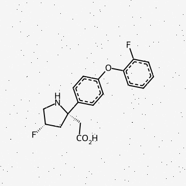 O=C(O)C[C@]1(c2ccc(Oc3ccccc3F)cc2)C[C@H](F)CN1